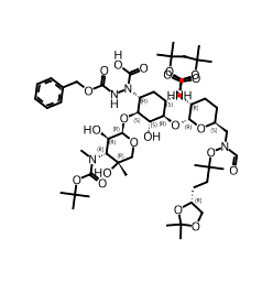 CN(C(=O)OC(C)(C)C)[C@@H]1[C@@H](O)[C@@H](O[C@@H]2[C@@H](O)[C@H](O[C@H]3O[C@H](CN(C=O)OC(C)(C)CC[C@@H]4COC(C)(C)O4)CC[C@H]3NC(=O)OC(C)(C)C)[C@@H](NC(=O)OC(C)(C)C)C[C@H]2N(NC(=O)OCc2ccccc2)C(=O)O)OC[C@]1(C)O